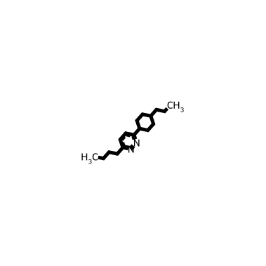 CCCCc1ccc(C2CCC(CCC)CC2)nn1